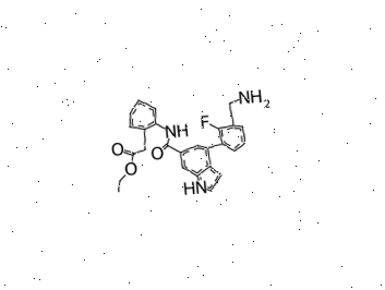 CCOC(=O)Cc1ccccc1NC(=O)c1cc(-c2cccc(CN)c2F)c2cc[nH]c2c1